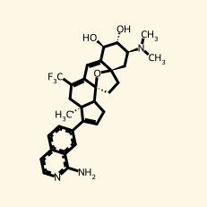 CN(C)[C@H]1C[C@@]23CC[C@@]4(O2)C(=C(C(F)(F)F)C[C@]2(C)C(c5ccc6ccnc(N)c6c5)=CCC24)C=C3[C@@H](O)[C@@H]1O